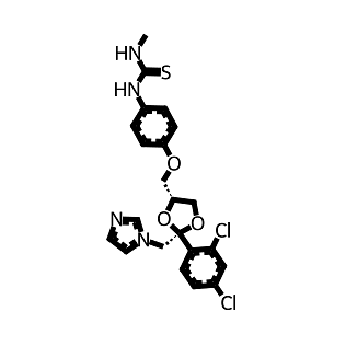 CNC(=S)Nc1ccc(OC[C@@H]2CO[C@@](Cn3ccnc3)(c3ccc(Cl)cc3Cl)O2)cc1